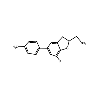 Cc1ccc(-c2cc(F)c3c(c2)CC(CN)O3)cc1